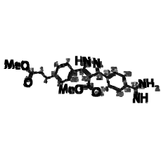 COC(=O)CCc1ccc(-c2[nH]nc(-c3ccc(C(=N)N)cc3)c2C(=O)OC)cc1